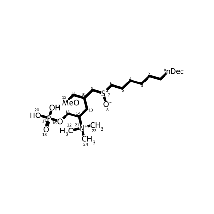 CCCCCCCCCCCCCCCC[S+]([O-])CC(COC)CC(COP(=O)(O)O)[N+](C)(C)C